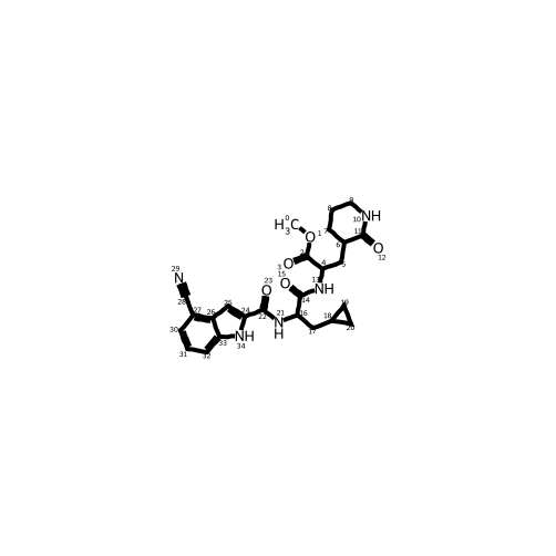 COC(=O)C(CC1CCCNC1=O)NC(=O)C(CC1CC1)NC(=O)c1cc2c(C#N)cccc2[nH]1